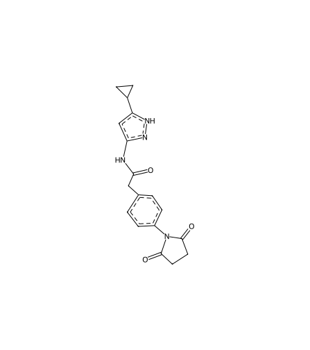 O=C(Cc1ccc(N2C(=O)CCC2=O)cc1)Nc1cc(C2CC2)[nH]n1